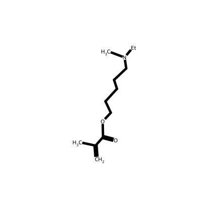 C=C(C)C(=O)OCCCCCN(C)CC